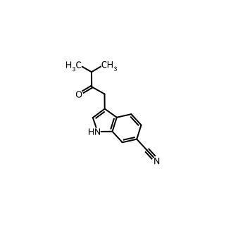 CC(C)C(=O)Cc1c[nH]c2cc(C#N)ccc12